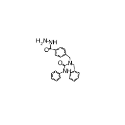 NNC(=O)c1ccc(CN(Cc2ccccc2)C(=O)Nc2ccccc2)cc1